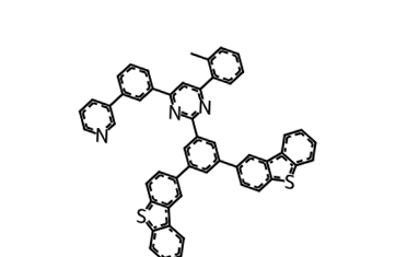 Cc1ccccc1-c1cc(-c2cccc(-c3cccnc3)c2)nc(-c2cc(-c3ccc4sc5ccccc5c4c3)cc(-c3ccc4sc5ccccc5c4c3)c2)n1